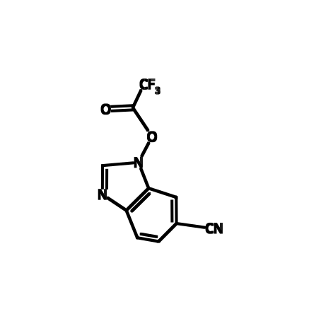 N#Cc1ccc2ncn(OC(=O)C(F)(F)F)c2c1